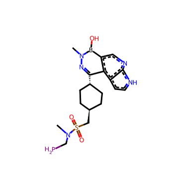 CN1N=C([C@H]2CC[C@H](CS(=O)(=O)N(C)CP)CC2)c2c(cnc3[nH]ccc23)B1O